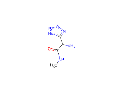 CNC(=O)C(N)c1nnn[nH]1